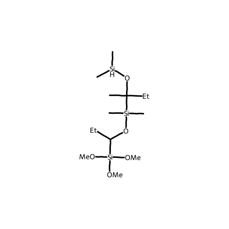 CCC(O[Si](C)(C)C(C)(CC)O[SiH](C)C)[Si](OC)(OC)OC